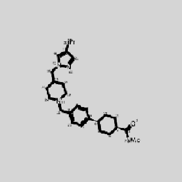 CSC(=O)[C@H]1CC[C@@H](c2ccc(CN3CCC(Cn4cc(C(C)C)cn4)CC3)cc2)CC1